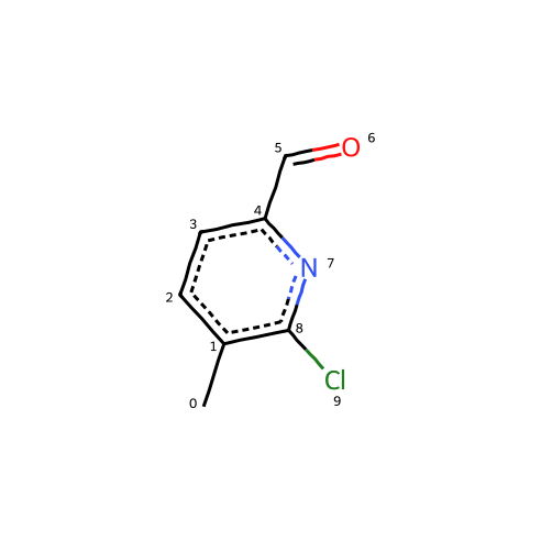 Cc1ccc(C=O)nc1Cl